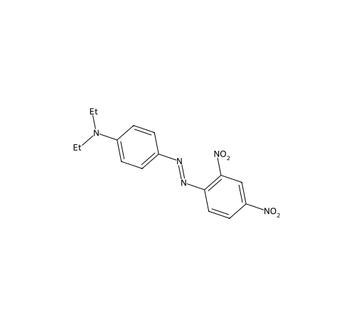 CCN(CC)c1ccc(N=Nc2ccc([N+](=O)[O-])cc2[N+](=O)[O-])cc1